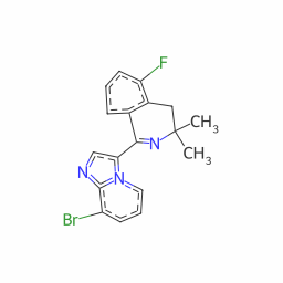 CC1(C)Cc2c(F)cccc2C(c2cnc3c(Br)cccn23)=N1